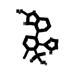 Cc1ccc(-c2cccc3nc(N)[nH]c23)c(-c2nnn[nH]2)c1S(N)(=O)=O